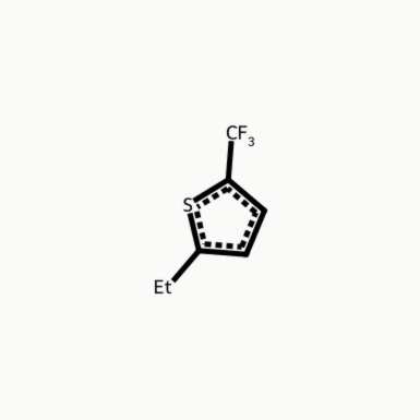 CCc1ccc(C(F)(F)F)s1